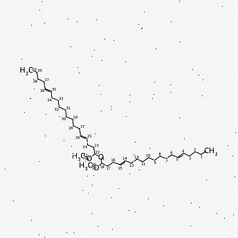 CCCCC=CCCCCCCCCC=CCCC(OC)OC(CCC=CCCCCCCCCC=CCCCC)OC